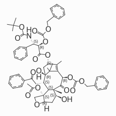 CC(=O)O[C@@]12CO[C@@H]1C[C@H](O)[C@@]1(C)C(=O)[C@H](OC(=O)OCc3ccccc3)C3=C(C)[C@@H](OC(=O)[C@H](OC(=O)OCc4ccccc4)[C@@H](NC(=O)OC(C)(C)C)c4ccccc4)C[C@@](O)([C@@H](CC(=O)c4ccccc4)C12)C3(C)C